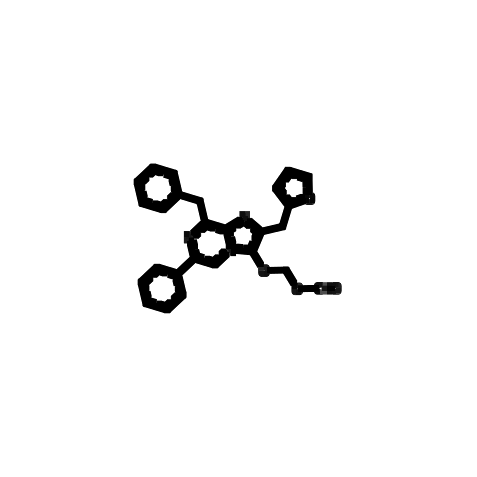 O=COCOc1c(Cc2ccco2)nc2c(Cc3ccccc3)nc(-c3ccccc3)cn12